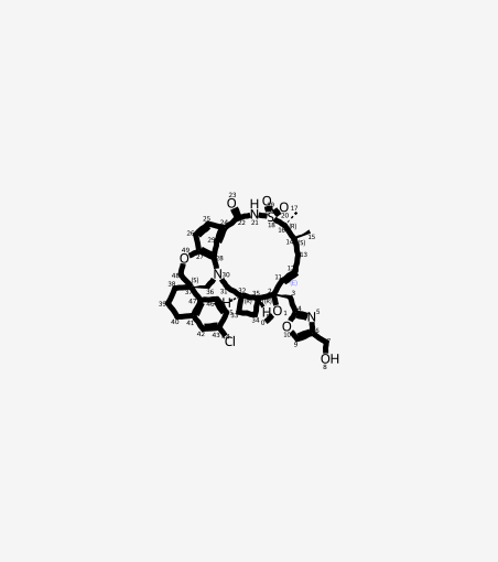 CO[C@@]1(Cc2nc(CO)co2)/C=C/C[C@H](C)[C@@H](C)S(=O)(=O)NC(=O)c2ccc3c(c2)N(C[C@@H]2CC[C@H]21)C[C@@]1(CCCc2cc(Cl)ccc21)CO3